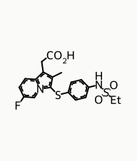 CCS(=O)(=O)Nc1ccc(Sc2c(C)c(CC(=O)O)c3ccc(F)cn23)cc1